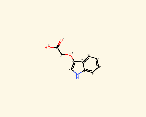 O=C(O)COc1c[nH]c2ccccc12